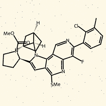 COC(=O)N1CCC[C@@H]1c1cc2c(SC)nc3c(F)c(-c4cccc(C)c4Cl)ncc3c2n1[C@@H]1[C@@H]2CC[C@H]1C2